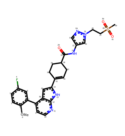 COc1ccc(F)cc1-c1ccnc2[nH]c(C3=CCC(C(=O)Nc4cnn(CCS(C)(=O)=O)c4)CC3)cc12